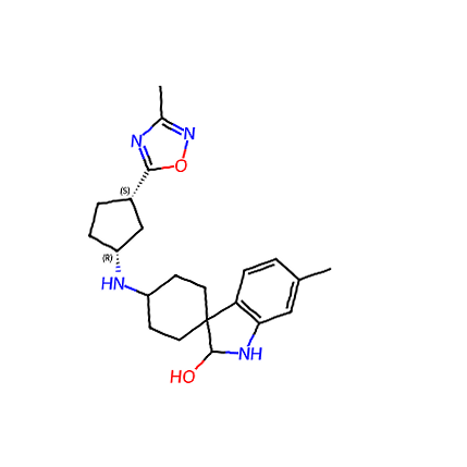 Cc1ccc2c(c1)NC(O)C21CCC(N[C@@H]2CC[C@H](c3nc(C)no3)C2)CC1